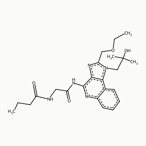 CCCC(=O)NCC(=O)Nc1nc2ccccc2c2c1nc(COCC)n2CC(C)(C)O